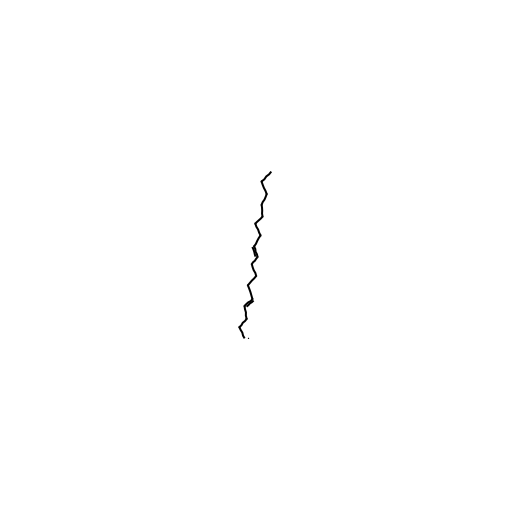 [CH2]CCC=CCCCC=CCCCCCCC